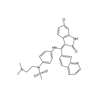 CN(C)CCN(c1ccc(NC(=C2C(=O)Nc3cc(Cl)ccc32)c2ccc3cccnc3c2)cc1)S(C)(=O)=O